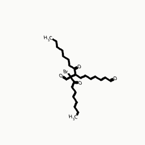 CCCCCCCC(=O)C(CCCCCC[C]=O)C(Br)([C]=O)C(=O)CCCCCCC